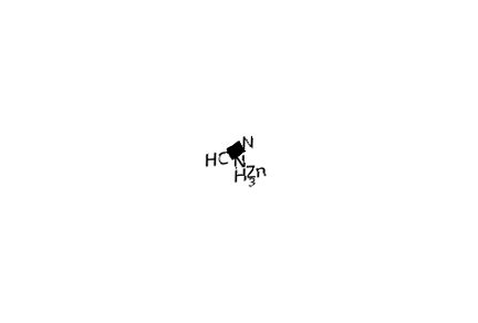 C#N.N.[Zn]